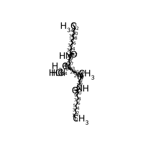 CCCCCCCCCCCC(=O)NCCCCN(C)CC=CCCN(C)CCCNC(=O)CCCCCCCCCCC.Cl.Cl